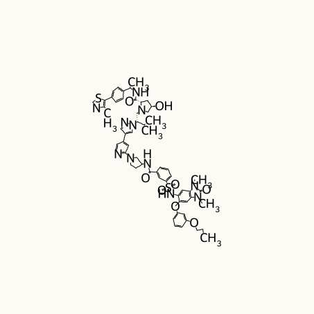 CCCOc1cccc(Oc2cc3c(cc2NS(=O)(=O)c2cccc(C(=O)N[C@H]4CCN(c5cc(-c6cnn([C@H](CN7C[C@H](O)C[C@H]7C(=O)N[C@@H](C)c7ccc(-c8scnc8C)cc7)C(C)C)c6)ccn5)C4)c2)n(C)c(=O)n3C)c1